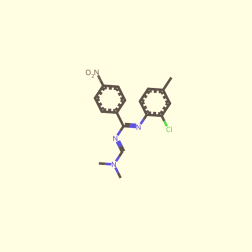 Cc1ccc(/N=C(/N=C/N(C)C)c2ccc([N+](=O)[O-])cc2)c(Cl)c1